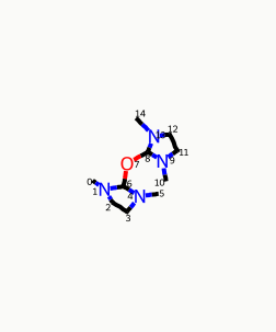 CN1CCN(C)C1OC1N(C)CCN1C